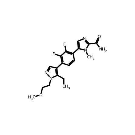 CCc1c(-c2ccc(-c3cnc(C(N)=O)n3C)c(F)c2F)cnn1CCOC